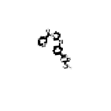 O=C(c1cccnc1)N1CC[C@H](Oc2cccc(-c3noc(C(F)(F)F)n3)c2)C1